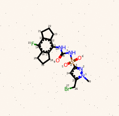 Cn1nc(S(=O)(=O)NC(=O)Nc2c3c(c(F)c4c2CCC4)CCC3)cc1CBr